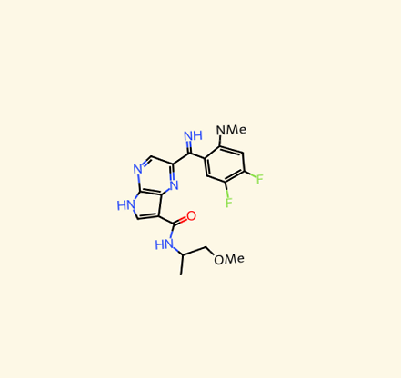 CNc1cc(F)c(F)cc1C(=N)c1cnc2[nH]cc(C(=O)NC(C)COC)c2n1